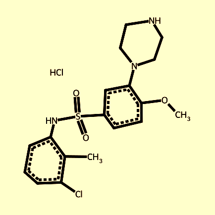 COc1ccc(S(=O)(=O)Nc2cccc(Cl)c2C)cc1N1CCNCC1.Cl